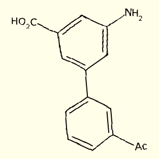 CC(=O)c1cccc(-c2cc(N)cc(C(=O)O)c2)c1